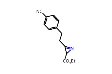 CCOC(=O)C1N=C1CCc1ccc(C#N)cc1